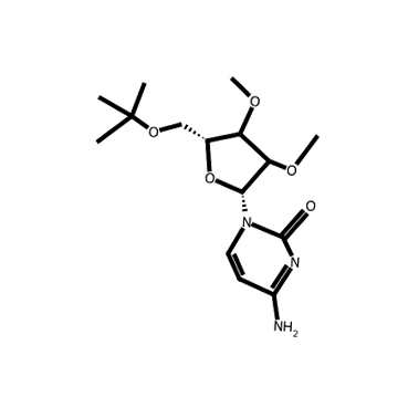 COC1C(OC)[C@@H](COC(C)(C)C)O[C@H]1n1ccc(N)nc1=O